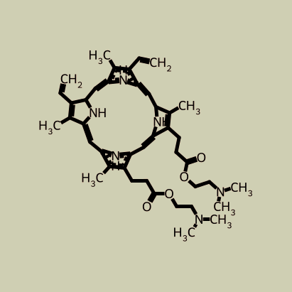 C=CC1=C(C)/C2=C/c3[nH]c(c(CCC(=O)OCCN(C)C)c3C)/C=C3\NC(/C=c4\[nH]/c(c(C)c4C=C)=C\C1N2)C(C)=C3CCC(=O)OCCN(C)C